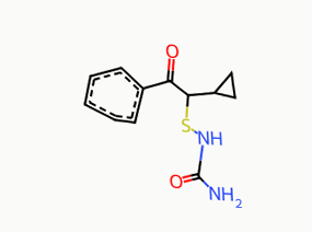 NC(=O)NSC(C(=O)c1ccccc1)C1CC1